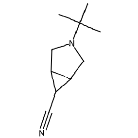 CC(C)(C)N1CC2C(C#N)C2C1